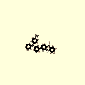 Brc1ccc(N(c2ccccc2)c2cccc(-c3ccc4c(c3)Sc3ccccc3N4)c2)cc1